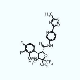 COc1c([C@H]2[C@H](C(=O)Nc3ccc(-c4nc(C)no4)nc3)O[C@@](C)(C(F)(F)F)[C@H]2C)ccc(F)c1F